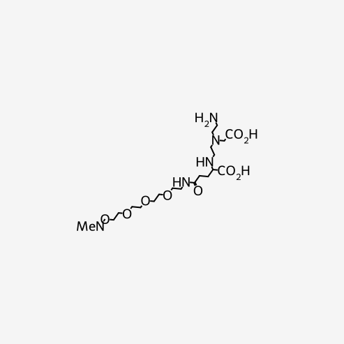 CNOCCOCCOCCOCCNC(=O)CCC(NCCN(CCN)CC(=O)O)C(=O)O